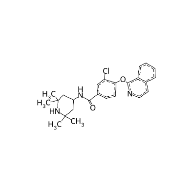 CC1(C)CC(NC(=O)c2ccc(Oc3nccc4ccccc34)c(Cl)c2)CC(C)(C)N1